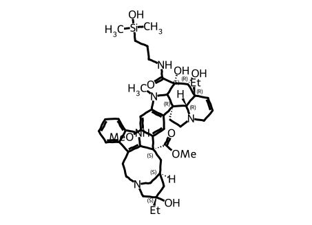 CC[C@]1(O)C[C@H]2CN(CCc3c([nH]c4ccccc34)[C@@](C(=O)OC)(c3cc4c(cc3OC)N(C)C3[C@]45CCN4CC=C[C@@](CC)([C@@H](O)[C@]3(O)C(=O)NCCC[Si](C)(C)O)[C@H]45)C2)C1